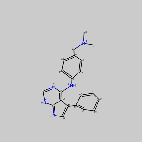 CN(C)Cc1ccc(Nc2nc[nH]c3ncc(-c4ccccc4)c2-3)cc1